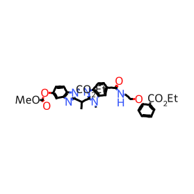 CCOC(=O)c1ccccc1OCCNC(=O)c1ccc2nc(C(C)c3nc4cc(OC(=O)OC)ccc4n3C(=O)OCC)n(C)c2c1